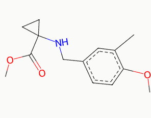 COC(=O)C1(NCc2ccc(OC)c(C)c2)CC1